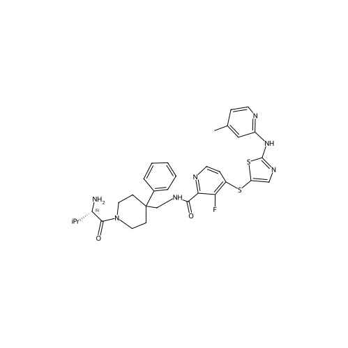 Cc1ccnc(Nc2ncc(Sc3ccnc(C(=O)NCC4(c5ccccc5)CCN(C(=O)[C@@H](N)C(C)C)CC4)c3F)s2)c1